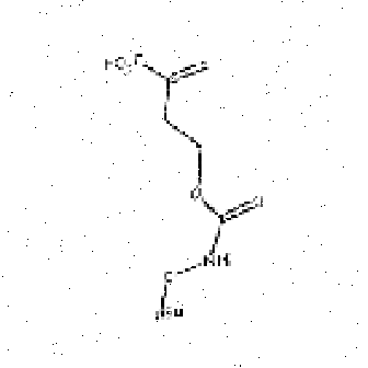 C=C(CCOC(=O)NOCCCC)C(=O)O